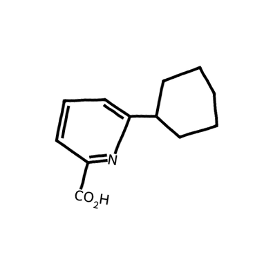 O=C(O)c1cccc(C2CCCCC2)n1